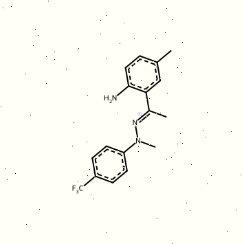 C/C(=N\N(C)c1ccc(C(F)(F)F)cc1)c1cc(C)ccc1N